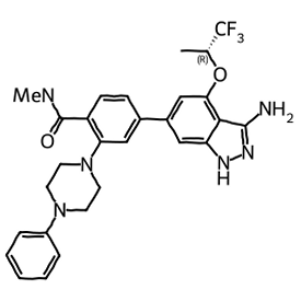 CNC(=O)c1ccc(-c2cc(O[C@H](C)C(F)(F)F)c3c(N)n[nH]c3c2)cc1N1CCN(c2ccccc2)CC1